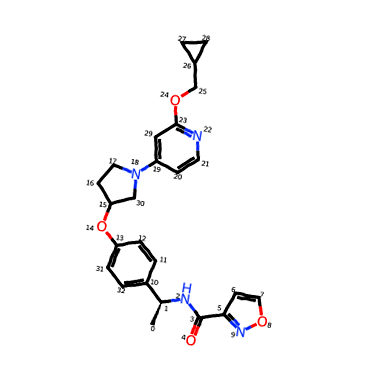 C[C@H](NC(=O)c1ccon1)c1ccc(OC2CCN(c3ccnc(OCC4CC4)c3)C2)cc1